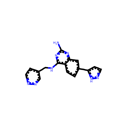 Nc1nc(NCc2ccnnc2)c2ccc(-c3ccn[nH]3)cc2n1